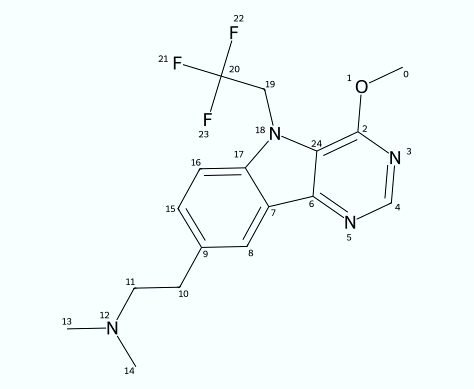 COc1ncnc2c3cc(CCN(C)C)ccc3n(CC(F)(F)F)c12